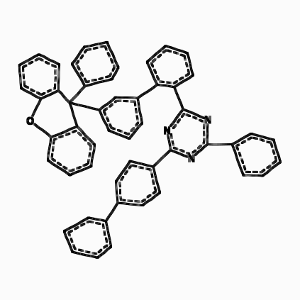 c1ccc(-c2ccc(-c3nc(-c4ccccc4)nc(-c4ccccc4-c4cccc(C5(c6ccccc6)c6ccccc6Oc6ccccc65)c4)n3)cc2)cc1